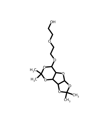 CC1(C)OC2OC3C(OCCOCCO)OC(C)(C)OC3C2O1